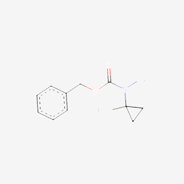 CC(C)(C)N(C(=O)OCc1ccccc1)C1(C(=O)O)CC1